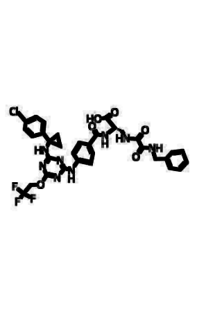 O=C(NCc1ccccc1)C(=O)NC[C@H](NC(=O)c1ccc(Nc2nc(NC3(c4ccc(Cl)cc4)CC3)nc(OCC(F)(F)F)n2)cc1)C(=O)O